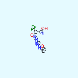 CN(CC12CC3CC(CC(C3)C1)C2)C(=O)c1ccc(N2CCN(C(=O)c3cc(-c4cncc(O)c4)cc(C(F)(F)F)c3)CC2)nn1